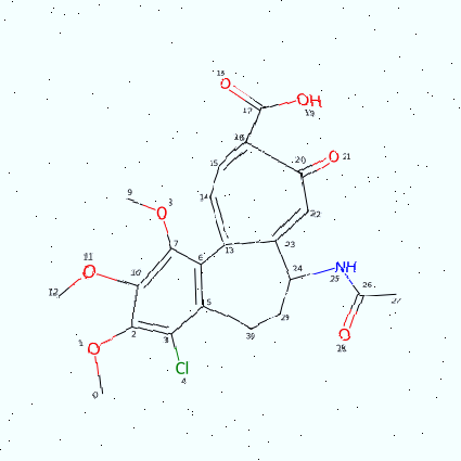 COc1c(Cl)c2c(c(OC)c1OC)-c1ccc(C(=O)O)c(=O)cc1C(NC(C)=O)CC2